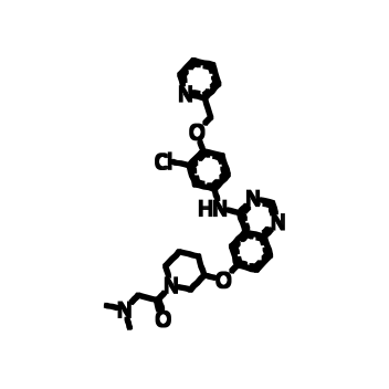 CN(C)CC(=O)N1CCCC(Oc2ccc3ncnc(Nc4ccc(OCc5ccccn5)c(Cl)c4)c3c2)C1